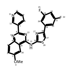 COc1ccc2nc(-c3cccnc3)nc(Nc3nc(-c4cc(F)cc(F)c4)cs3)c2c1